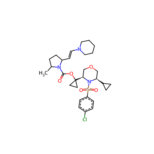 CC1CCC(C=CN2CCCCC2)N1C(=O)OC1([C@H]2COC[C@@H](C3CC3)N2S(=O)(=O)c2ccc(Cl)cc2)CC1